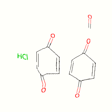 C=O.Cl.O=C1C=CC(=O)C=C1.O=C1C=CC(=O)C=C1